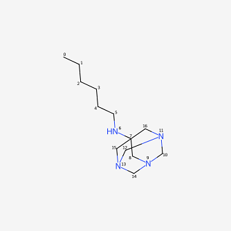 CCCCCCNC12CN3CN(CN(C3)C1)C2